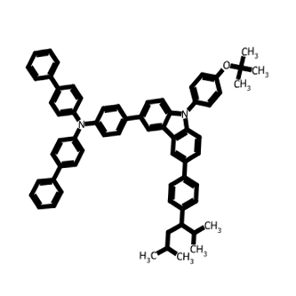 CC(C)CC(c1ccc(-c2ccc3c(c2)c2cc(-c4ccc(N(c5ccc(-c6ccccc6)cc5)c5ccc(-c6ccccc6)cc5)cc4)ccc2n3-c2ccc(OC(C)(C)C)cc2)cc1)C(C)C